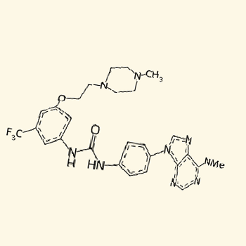 CNc1ncnc2c1ncn2-c1ccc(NC(=O)Nc2cc(OCCN3CCN(C)CC3)cc(C(F)(F)F)c2)cc1